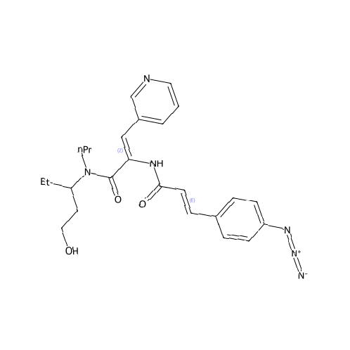 CCCN(C(=O)/C(=C/c1cccnc1)NC(=O)/C=C/c1ccc(N=[N+]=[N-])cc1)C(CC)CCO